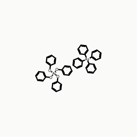 c1ccc([As+](c2ccccc2)(c2ccccc2)c2ccccc2)cc1.c1ccc([O][Al-]([O]c2ccccc2)([O]c2ccccc2)[O]c2ccccc2)cc1